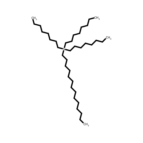 CCCCCCCCCCCCCC[Si](CCCCCCCC)(CCCCCCCC)CCCCCCCC